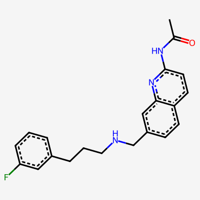 CC(=O)Nc1ccc2ccc(CNCCCc3cccc(F)c3)cc2n1